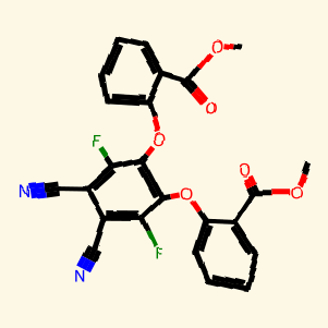 COC(=O)c1ccccc1Oc1c(F)c(C#N)c(C#N)c(F)c1Oc1ccccc1C(=O)OC